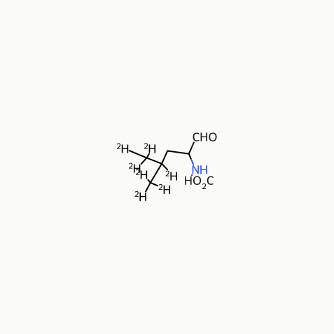 [2H]C([2H])([2H])C([2H])(CC(C=O)NC(=O)O)C([2H])([2H])[2H]